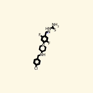 NC(=S)N/N=C/c1cc(F)c(N2CCC(NCc3ccc(Cl)cc3)CC2)cc1F